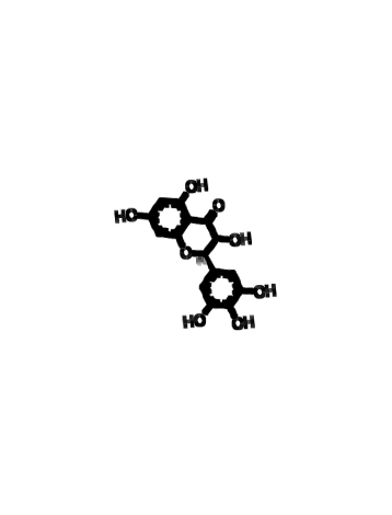 O=C1c2c(O)cc(O)cc2O[C@H](c2cc(O)c(O)c(O)c2)C1O